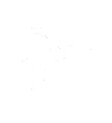 Brc1cc(Br)cc(COC2CCCc3ccccc3C2N2CCNCC2)c1.Cl.Cl